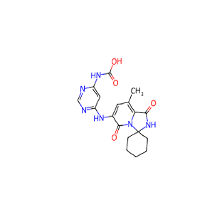 Cc1cc(Nc2cc(NC(=O)O)ncn2)c(=O)n2c1C(=O)NC21CCCCC1